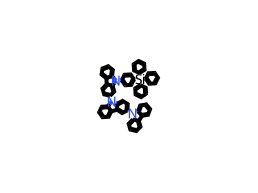 c1ccc([Si](c2ccccc2)(c2ccccc2)c2ccc(-n3c4ccccc4c4ccc(-n5c6ccccc6c6cc(-n7c8ccccc8c8ccccc87)ccc65)cc43)cc2)cc1